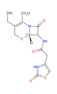 CC(=O)OCC1=C(C(=O)O)N2C(=O)C(NC(=O)Cc3csc(=O)[nH]3)[C@@H]2SC1